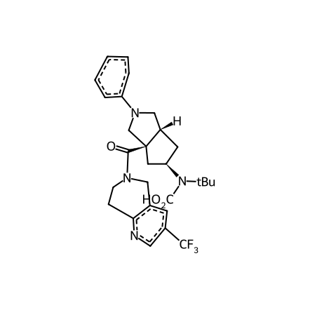 CC(C)(C)N(C(=O)O)[C@@H]1C[C@H]2CN(c3ccccc3)C[C@@]2(C(=O)N2CCc3ncc(C(F)(F)F)cc3C2)C1